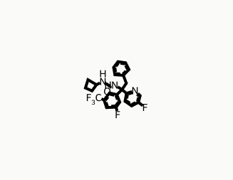 O=C(NC1CCC1)NC(Cc1ccccc1)(c1cc(F)cc(C(F)(F)F)c1)c1ccc(F)cn1